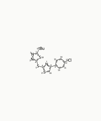 CC(C)(C)c1nnc(Sc2nc(-c3ccc(Cl)cc3)cs2)s1